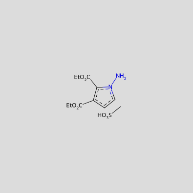 CCOC(=O)c1ccn(N)c1C(=O)OCC.CS(=O)(=O)O